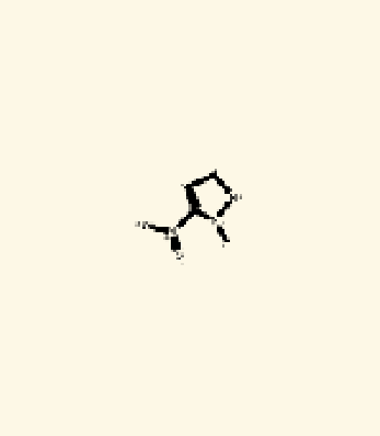 CN1[N]CC=C1[N+](=O)[O-]